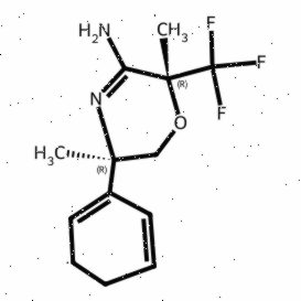 C[C@@]1(C2=C[CH]CC=C2)CO[C@@](C)(C(F)(F)F)C(N)=N1